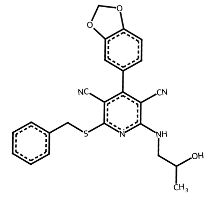 CC(O)CNc1nc(SCc2ccccc2)c(C#N)c(-c2ccc3c(c2)OCO3)c1C#N